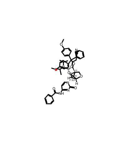 COc1ccc(C(OC[C@]23CO[C@H]([C@H](n4ccc(NC(=O)c5ccccc5)nc4=O)O2)[C@@H]3OP(OCCC#N)N(C(C)C)C(C)C)(c2ccccc2)c2ccc(OC)cc2)cc1